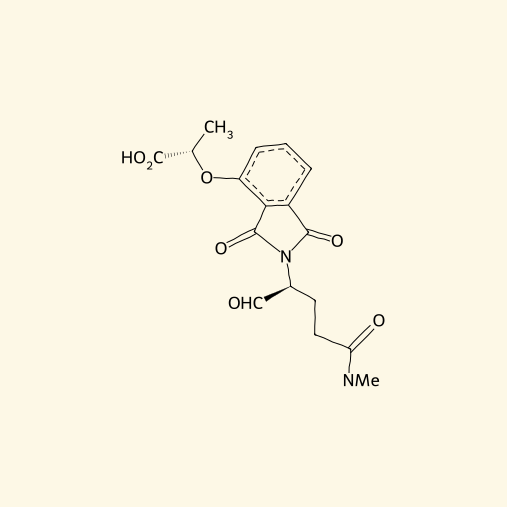 CNC(=O)CC[C@@H](C=O)N1C(=O)c2cccc(O[C@@H](C)C(=O)O)c2C1=O